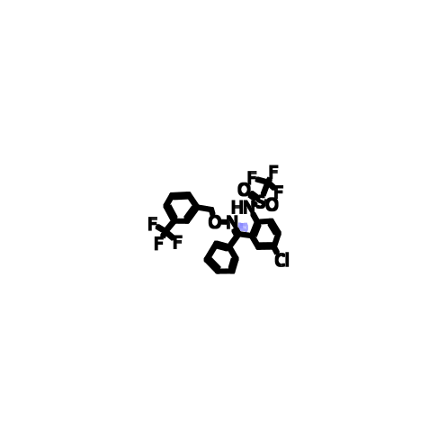 O=S(=O)(Nc1ccc(Cl)cc1/C(=N/OCc1cccc(C(F)(F)F)c1)c1ccccc1)C(F)(F)F